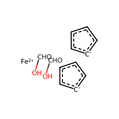 O=CO.O=CO.[Fe+2].c1cc[cH-]c1.c1cc[cH-]c1